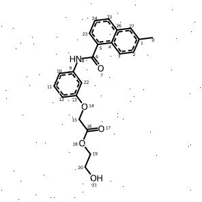 Cc1ccc2c(C(=O)Nc3cccc(OCC(=O)OCCO)c3)cccc2c1